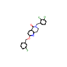 O=C1c2ccc(OCc3cccc(F)c3)nc2CCN1Cc1cccc(Cl)c1F